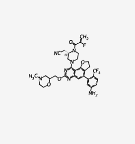 C=C(F)C(=O)N1CCN(c2nc(OCC3CN(C)CCO3)nc3cc(-c4cc(N)ccc4C(F)(F)F)c4c(c23)OCC4)C[C@@H]1CC#N